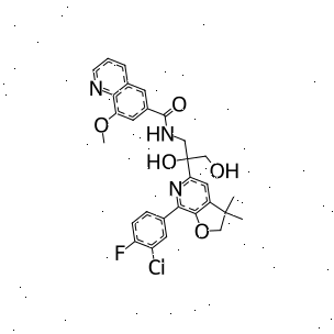 COc1cc(C(=O)NCC(O)(CO)c2cc3c(c(-c4ccc(F)c(Cl)c4)n2)OCC3(C)C)cc2cccnc12